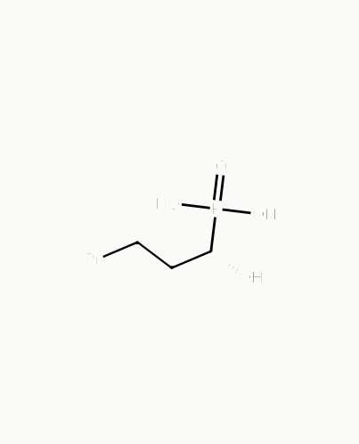 CC(C)CC[C@@H](O)P(=O)(O)O